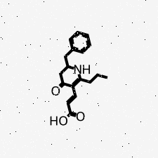 CCCC1=C(C=CC(=O)O)C(=O)CC(Cc2ccccc2)N1